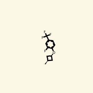 [CH2][C@H]1C[C@@H](Oc2ccc(C(F)(F)F)cc2F)C1